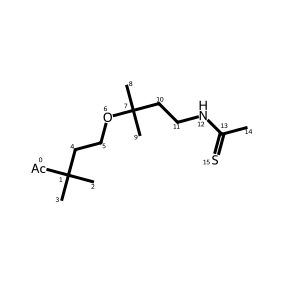 CC(=O)C(C)(C)CCOC(C)(C)CCNC(C)=S